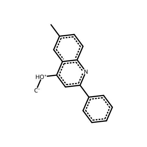 [CH2-][OH+]c1cc(-c2ccccc2)nc2ccc(C)cc12